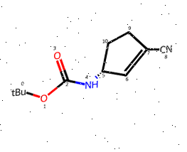 CC(C)(C)OC(=O)N[C@H]1C=C(C#N)CC1